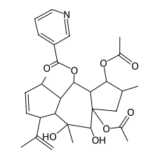 C=C(C)C1C=CC(C)C2C(OC(=O)c3cccnc3)C3C(OC(C)=O)C(C)CC3(OC(C)=O)C(O)C(C)(O)C12